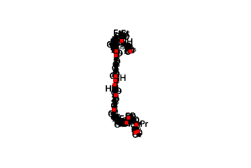 CCC[C@@H](NC(=O)N1C(=O)C(CC)(CC)[C@@H]1Oc1ccc(C(=O)N2CCN(C(=O)CCCOCCOCCOC(=O)NCCCCNC(=O)OCCOCCOCCCC(=O)N3CCN(C(=O)c4ccc(O[C@@H]5N(C(=O)N[C@H](CCC)c6ccc7c(c6)OCO7)C(=O)C5(CC)CC)cc4)CC3)CC2)cc1)c1ccc2c(c1)OCO2